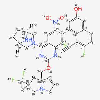 C#Cc1c(F)ccc2cc(O)cc(-c3c([N+](=O)[O-])cc4c(N5C[C@H]6CC[C@@H](C5)N6)nc(OC[C@@]56C=CCN5C[C@@]5(CC5(F)F)C6)nc4c3F)c12